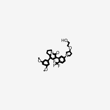 COc1cc(OC)cc(-c2cc(-c3cc(N4CCC(OCCO)C4)ccc3C(F)(F)F)c(=O)n3c2CCC3)c1